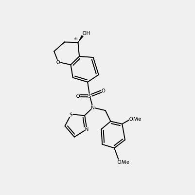 COc1ccc(CN(c2nccs2)S(=O)(=O)c2ccc3c(c2)OCC[C@H]3O)c(OC)c1